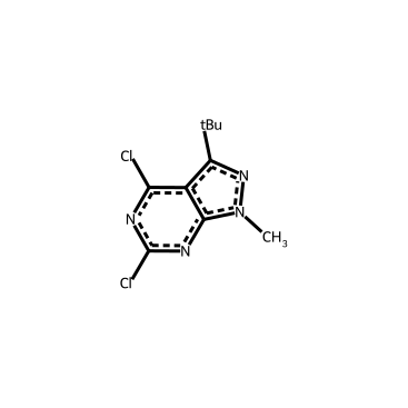 Cn1nc(C(C)(C)C)c2c(Cl)nc(Cl)nc21